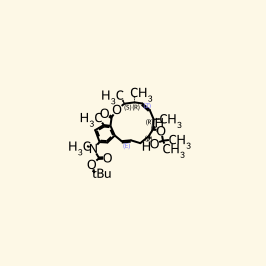 Cc1cc(N(C)C(=O)OC(C)(C)C)cc2c1C(=O)O[C@@H](C)[C@H](C)/C=C\[C@@H](C)[C@@H]1OC(C)(C)O[C@H]1C/C=C/2